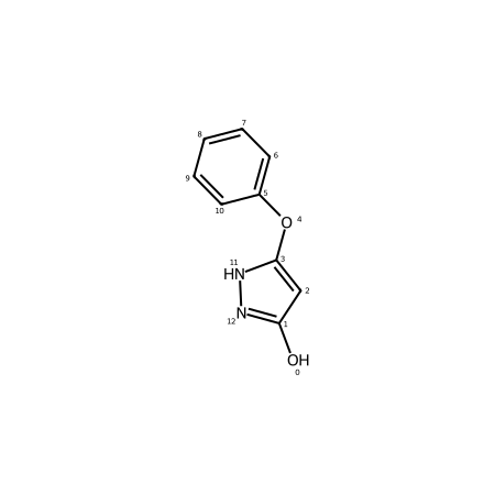 Oc1cc(Oc2ccccc2)[nH]n1